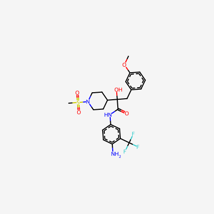 COc1cccc(CC(O)(C(=O)Nc2ccc(N)c(C(F)(F)F)c2)C2CCN(S(C)(=O)=O)CC2)c1